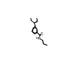 CCCNC(=O)c1cccc(C(CC)CC)c1